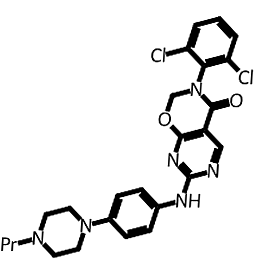 CC(C)N1CCN(c2ccc(Nc3ncc4c(n3)OCN(c3c(Cl)cccc3Cl)C4=O)cc2)CC1